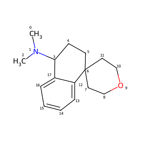 CN(C)C1CCC2(CCOCC2)c2ccccc21